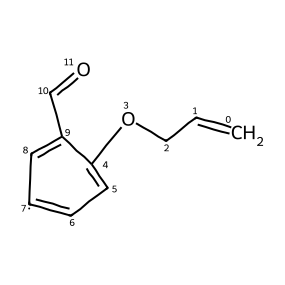 C=CCOc1cc[c]cc1C=O